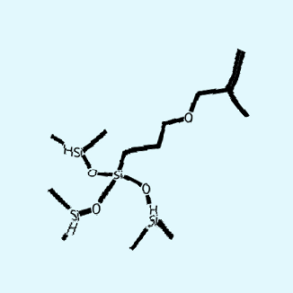 C=C(C)COCCC[Si](O[SiH](C)C)(O[SiH](C)C)O[SiH](C)C